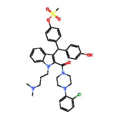 CN(C)CCCn1c(C(=O)N2CCN(c3ccccc3Cl)CC2)c(C(c2ccc(O)cc2)c2ccc(OS(C)(=O)=O)cc2)c2ccccc21